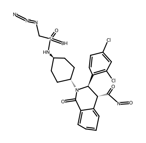 B=S(=O)(CN=[N+]=[N-])N[C@H]1CC[C@H](N2C(=O)c3ccccc3[C@@H](C(=O)N=O)[C@@H]2c2ccc(Cl)cc2Cl)CC1